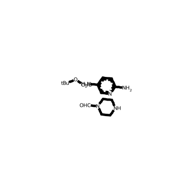 CC(C)(C)OC=O.Nc1ccc(N)nc1.O=CN1CCNCC1